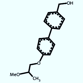 COC(C)COc1ccc(-c2ccc(CO)cc2)cc1